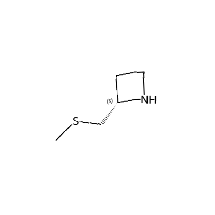 CSC[C@@H]1CCN1